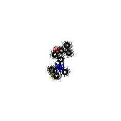 c1ccc(-c2nc(-c3cccc(-c4cccc5oc6ccc(-c7ccccc7-c7ccccc7)cc6c45)c3)nc(-c3cccc4sc5ccccc5c34)n2)cc1